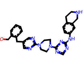 OCc1ccccc1Cc1cnc(N2CCN(c3ncnc(Nc4ccc5c(c4)CNCC5)n3)CC2)nc1